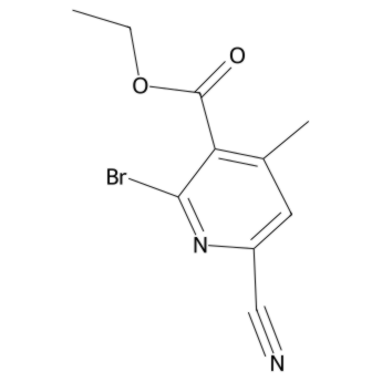 CCOC(=O)c1c(C)cc(C#N)nc1Br